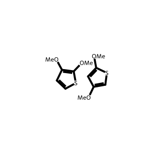 COc1ccsc1OC.COc1csc(OC)c1